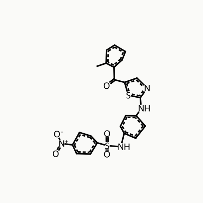 Cc1ccccc1C(=O)c1cnc(Nc2ccc(NS(=O)(=O)c3ccc([N+](=O)[O-])cc3)cc2)s1